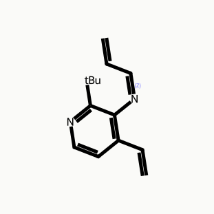 C=C/C=N\c1c(C=C)ccnc1C(C)(C)C